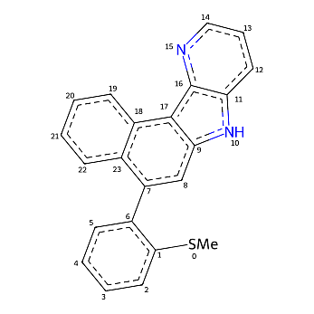 CSc1ccccc1-c1cc2[nH]c3cccnc3c2c2ccccc12